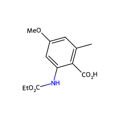 CCOC(=O)Nc1cc(OC)cc(C)c1C(=O)O